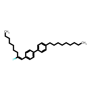 CCCCCCCCCc1ccc(-c2ccc(/C=C(/F)CCCCCCC)cc2)cc1